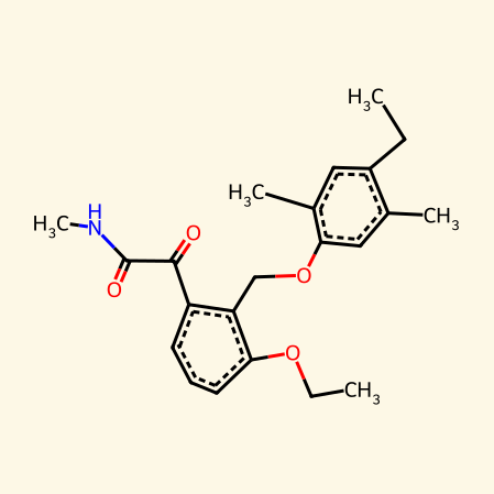 CCOc1cccc(C(=O)C(=O)NC)c1COc1cc(C)c(CC)cc1C